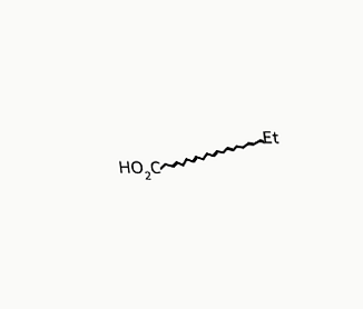 CCC=CC=CCCC=CCC=CCCC=CCCC=CCCC(=O)O